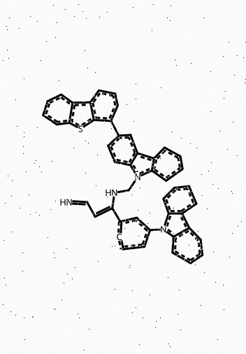 N=C/C=C(\NCn1c2ccccc2c2cc(-c3cccc4c3sc3ccccc34)ccc21)c1cccc(-n2c3ccccc3c3ccccc32)c1